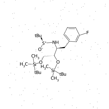 CC(C)(C)[S@+]([O-])N[C@@H](Cc1cccc(F)c1)[C@@H](CO[Si](C)(C)C(C)(C)C)O[Si](C)(C)C(C)(C)C